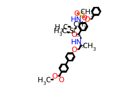 CCOC(=O)c1ccc(-c2ccc(OC[C@@H](C)NC[C@@H](O[Si](CC)(CC)CC)c3ccc(OCc4ccccc4)c(NS(C)(=O)=O)c3)cc2)cc1